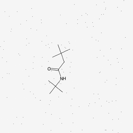 CC(C)(C)CC(=O)NC(C)(C)C